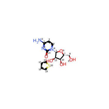 Nc1ccn([C@@H]2O[C@H](CO)[C@@H](O)[C@H]2O)c(=O)n1.c1ccsc1